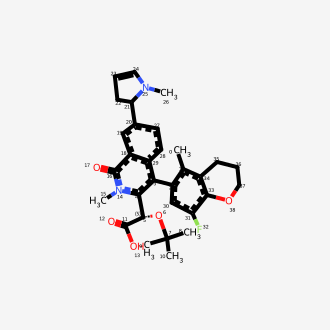 Cc1c(-c2c([C@H](OC(C)(C)C)C(=O)O)n(C)c(=O)c3cc(C4CC=CN4C)ccc23)cc(F)c2c1CCCO2